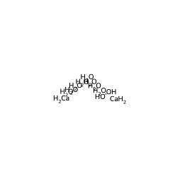 O.O.O.O.O.O.O.O.OO.[CaH2].[CaH2]